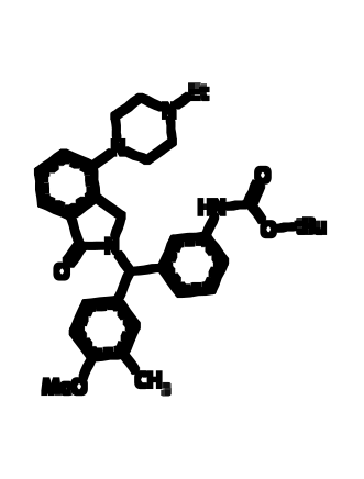 CCN1CCN(c2cccc3c2CN(C(c2cccc(NC(=O)OC(C)(C)C)c2)c2ccc(OC)c(C)c2)C3=O)CC1